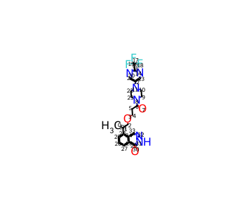 C[C@@H](COCCC(=O)N1CCN(c2cnc(C(F)(F)F)nc2)CC1)c1cccc2c(=O)[nH]ncc12